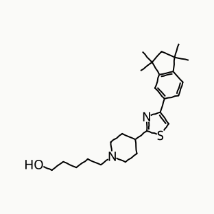 CC1(C)CC(C)(C)c2cc(-c3csc(C4CCN(CCCCCO)CC4)n3)ccc21